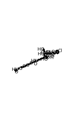 CC(=O)NCCOCCOCCOCCOCCC(=O)NCCCCCCO[C@]1(C(=O)O)C[C@H](O)[C@@H](NC(=O)CO)[C@H]([C@H](O)[C@H](O)CNC(=O)Cc2ccc(Cl)cc2)O1